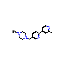 Cc1cc(-c2ccc(CN3CCN(C(C)C)CC3)cn2)ccn1